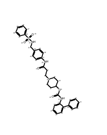 O=C(CCN1CCC(OC(=O)Nc2ccccc2-c2ccccc2)CC1)Nc1ccc(CNS(=O)(=O)c2ccccc2)cc1